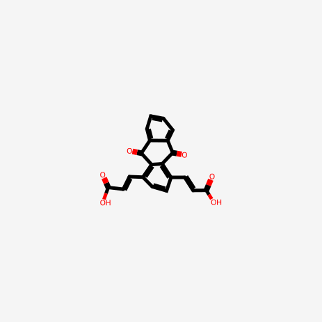 O=C(O)C=Cc1ccc(C=CC(=O)O)c2c1C(=O)c1ccccc1C2=O